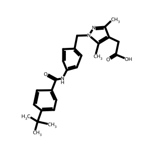 Cc1nn(Cc2ccc(NC(=O)c3ccc(C(C)(C)C)cc3)cc2)c(C)c1CC(=O)O